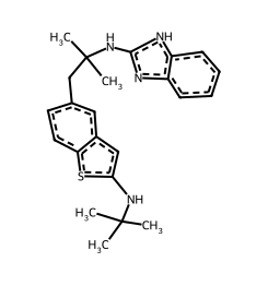 CC(C)(C)Nc1cc2cc(CC(C)(C)Nc3nc4ccccc4[nH]3)ccc2s1